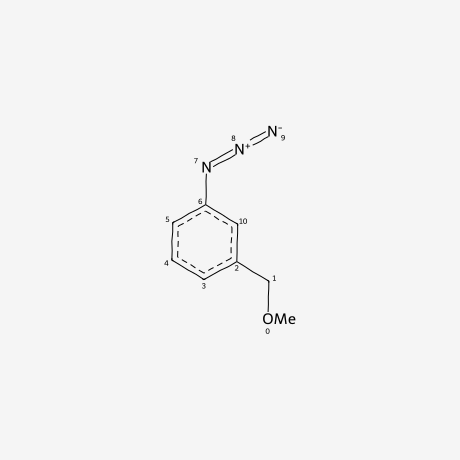 COCc1cccc(N=[N+]=[N-])c1